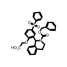 O=C(O)COc1ccc(S(=O)(=O)c2ccccc2)cc1C1c2ccccc2CCN1C(=O)OCc1ccccc1